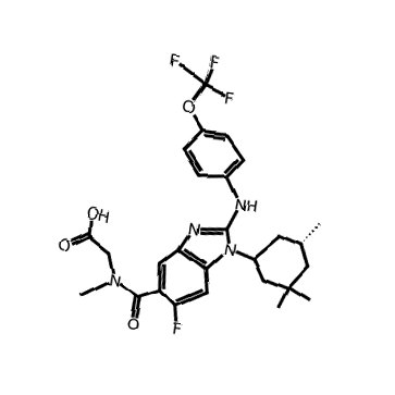 C[C@H]1CC(n2c(Nc3ccc(OC(F)(F)F)cc3)nc3cc(C(=O)N(C)CC(=O)O)c(F)cc32)CC(C)(C)C1